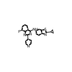 Fc1cccc2c(Nc3ccc4nc(C5CC5)sc4c3)nc(-c3ccncc3)nc12